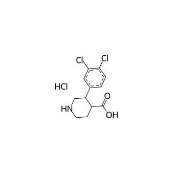 Cl.O=C(O)C1CCNCC1c1ccc(Cl)c(Cl)c1